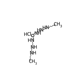 CCCCCCNCCCNCCCCNCc1cccc(CNCCCCNCCCNCCCCCC)c1.Cl